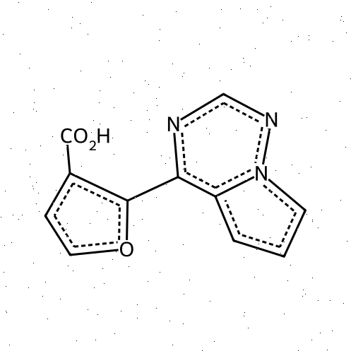 O=C(O)c1ccoc1-c1ncnn2cccc12